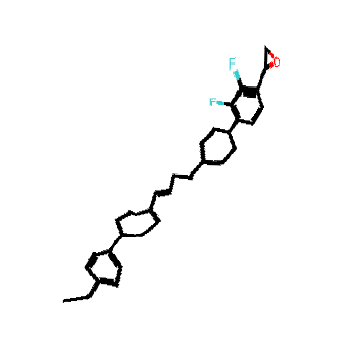 CCc1ccc(C2CCC(/C=C/CCC3CCC(c4ccc(C5CO5)c(F)c4F)CC3)CC2)cc1